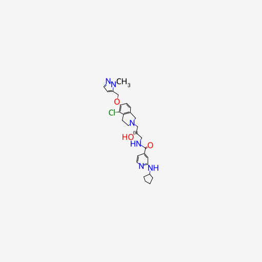 Cn1nccc1COc1ccc2c(c1Cl)CCN(C[C@@H](O)CNC(=O)c1ccnc(NC3CCCC3)c1)C2